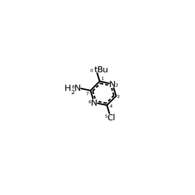 CC(C)(C)c1ncc(Cl)nc1N